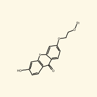 CCOCCOc1ccc2c(=O)c3ccc(O)cc3sc2c1